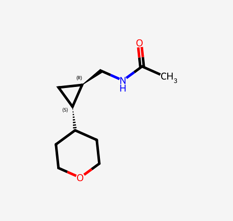 CC(=O)NC[C@@H]1C[C@H]1C1CCOCC1